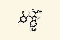 Cn1c(C(=O)O)c(Nc2ccc(I)cc2F)c2cnccc21.[NaH]